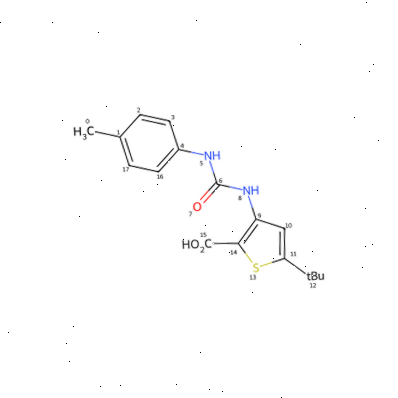 Cc1ccc(NC(=O)Nc2cc(C(C)(C)C)sc2C(=O)O)cc1